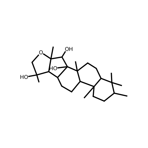 CC1CCC2(C)C(CCC3(C)C2CCC2C4C(C)(O)COC4(C)C(O)C23O)C1(C)C